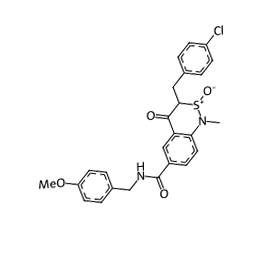 COc1ccc(CNC(=O)c2ccc3c(c2)C(=O)C(Cc2ccc(Cl)cc2)[S+]([O-])N3C)cc1